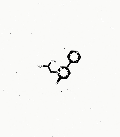 CC(C)Cn1nc(-c2ccncc2)ccc1=O